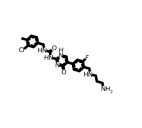 Cc1ccc(CNC(=O)Nc2nc(=O)c(-c3ccc(CNCCCN)c(F)c3)c[nH]2)cc1Cl